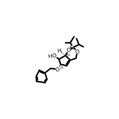 CC(C)[Si]1(C(C)C)OCC2=C[C@H](OCc3ccccc3)C(O)[C@H]2O1